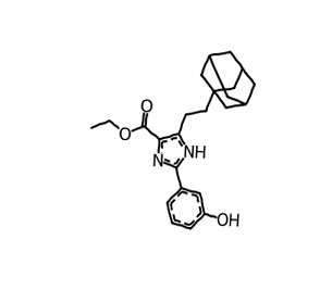 CCOC(=O)c1nc(-c2cccc(O)c2)[nH]c1CCC12CC3CC(CC(C3)C1)C2